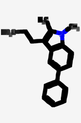 Cc1c(CCC(=O)O)c2cc(-c3ccccc3)ccc2n1C